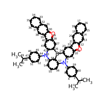 CC(C)c1ccc(N2c3cc4oc5cc6ccccc6cc5c4cc3B3c4cc5oc6cc7ccccc7cc6c5cc4N(c4ccc(C(C)C)cc4)c4cccc2c43)cc1